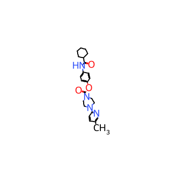 Cc1ccc(N2CCN(C(=O)Oc3ccc(NC(=O)C4CCCCC4)cc3)CC2)nc1